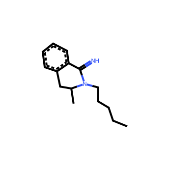 CCCCCN1C(=N)c2ccccc2CC1C